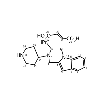 CC(C)CN(Cc1cc2ccccc2n1C)C1CCNCC1.O=C(O)C=CC(=O)O